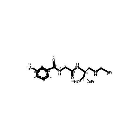 CCC[C@H](O)[C@H](CNCC(C)C)NC(=O)CNC(=O)c1cccc(C(F)(F)F)c1